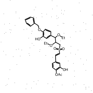 CCOC(CS(=O)(=O)C=Cc1ccc(OC(C)=O)c(O)c1)C(OCC)c1ccc(OCc2ccccc2)c(O)c1